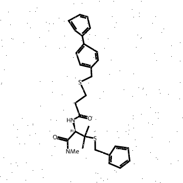 CNC(=O)[C@@H](NC(=O)[CH]CSCc1ccc(-c2ccccc2)cc1)C(C)(C)SCc1ccccc1